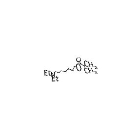 C=C(C)C(=O)OCCCCCCCN(CC)CC